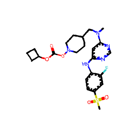 CN(CC1CCN(OC(=O)OC2CCC2)CC1)c1cc(Nc2ccc(S(C)(=O)=O)cc2F)ncn1